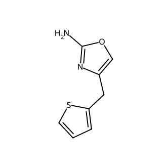 Nc1nc(Cc2cccs2)co1